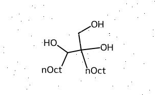 CCCCCCCCC(O)C(O)(CO)CCCCCCCC